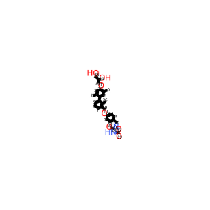 Cc1cc(-c2cccc(COc3ccc(Cn4oc(=O)[nH]c4=O)cc3)c2C)c(C)cc1OC[C@@H](O)CO